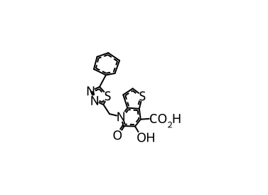 O=C(O)c1c(O)c(=O)n(Cc2nnc(-c3ccccc3)s2)c2ccsc12